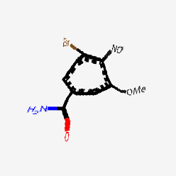 COc1cc(C(N)=O)cc(Br)c1N=O